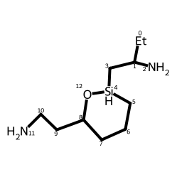 CCC(N)C[SiH]1CCCC(CCN)O1